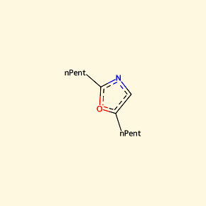 CCCCCc1cnc(CCCCC)o1